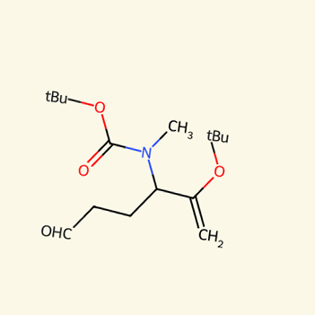 C=C(OC(C)(C)C)C(CCC=O)N(C)C(=O)OC(C)(C)C